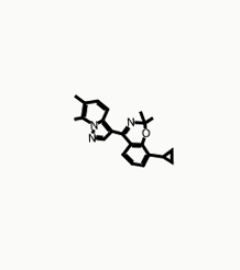 Cc1ccc2c(C3=NC(C)(C)Oc4c3cccc4C3CC3)cnn2c1C